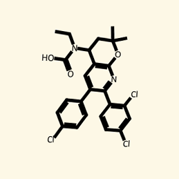 CCN(C(=O)O)C1CC(C)(C)Oc2nc(-c3ccc(Cl)cc3Cl)c(-c3ccc(Cl)cc3)cc21